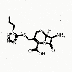 CCCn1nnnc1SCC1=C(C(=O)O)N2C(=O)C(N)[C@H]2SC1